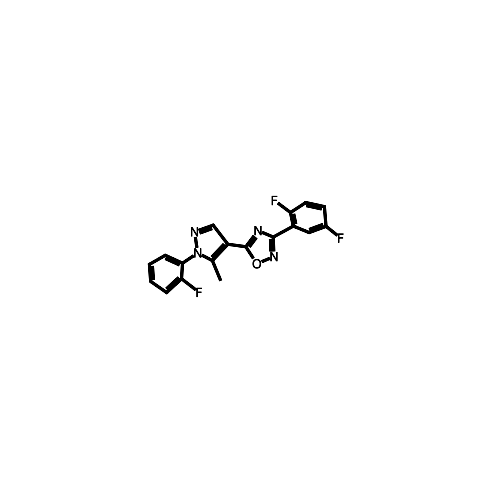 Cc1c(-c2nc(-c3cc(F)ccc3F)no2)cnn1-c1ccccc1F